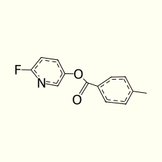 Cc1ccc(C(=O)Oc2ccc(F)nc2)cc1